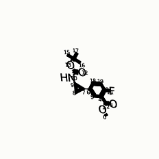 COC(=O)c1cc([C@@H]2C[C@H]2NC(=O)OC(C)(C)C)ccc1F